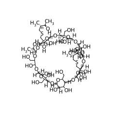 CC(=O)[C@@H](C)CSCC1O[C@H]2O[C@@H]3C(CO)O[C@H](O[C@@H]4C(CO)O[C@H](OC(O)C(CO)O[C@@H]([C@H](C)O)O[C@@H]5C(CSC[C@H](C)C(C)=O)O[C@H](O[C@@H]6C(CO)O[C@@H](O[C@@H]7C(O)O[C@@H](O[C@H]1C(O)[C@@H]2O)[C@@H](O)C7O)[C@@H](O)C6O)C(O)[C@H]5O)[C@@H](O)C4O)[C@@H](O)C3O